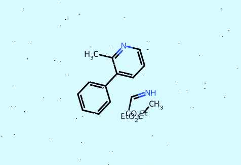 CCOC(=O)C=N.CCOC(C)=O.Cc1ncccc1-c1ccccc1